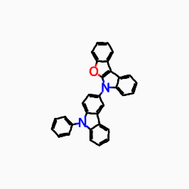 c1ccc(-n2c3ccccc3c3cc(-n4c5ccccc5c5c6ccccc6oc54)ccc32)cc1